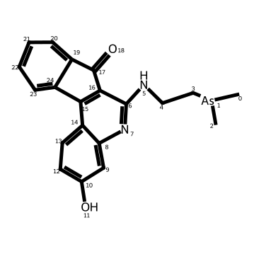 C[As](C)CCNc1nc2cc(O)ccc2c2c1C(=O)c1ccccc1-2